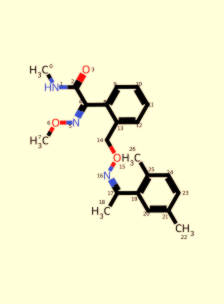 CNC(=O)/C(=N\OC)c1ccccc1CO/N=C(/C)c1cc(C)ccc1C